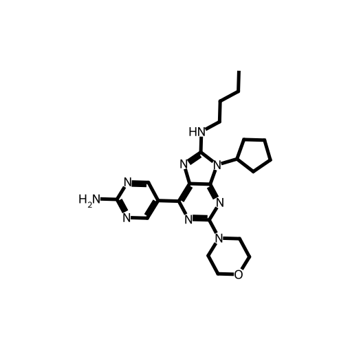 CCCCNc1nc2c(-c3cnc(N)nc3)nc(N3CCOCC3)nc2n1C1CCCC1